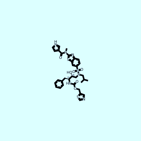 CC(C)CN(C[C@@H](O)[C@H](Cc1ccccc1)NC(=O)OCc1cncs1)S(=O)(=O)c1ccc2nc(N(C)C(=O)c3cc[nH]c3)sc2c1